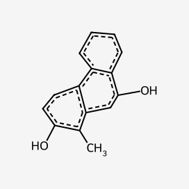 Cc1c(O)ccc2c1cc(O)c1ccccc12